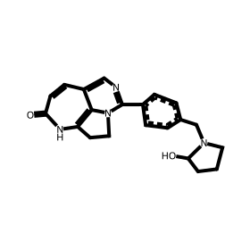 O=C1C=CC2=CN=C(c3ccc(CN4CCCC4O)cc3)N3CCC(=C23)N1